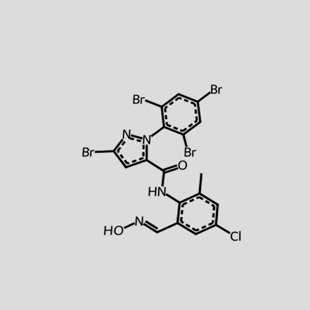 Cc1cc(Cl)cc(C=NO)c1NC(=O)c1cc(Br)nn1-c1c(Br)cc(Br)cc1Br